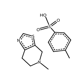 CN1CCc2ncsc2C1.Cc1ccc(S(=O)(=O)O)cc1